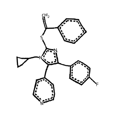 C=C(Sc1nc(-c2ccc(F)cc2)c(-c2ccncc2)n1C1CC1)c1ccccc1